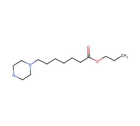 CCCOC(=O)CCCCCCN1CC[N]CC1